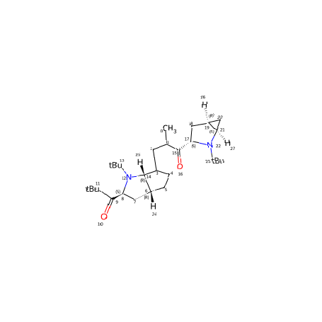 CC(CC1CC[C@@H]2C[C@@H](C(=O)C(C)(C)C)N(C(C)(C)C)[C@H]12)C(=O)[C@@H]1C[C@H]2C[C@H]2N1C(C)(C)C